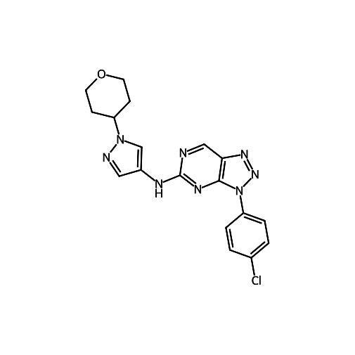 Clc1ccc(-n2nnc3cnc(Nc4cnn(C5CCOCC5)c4)nc32)cc1